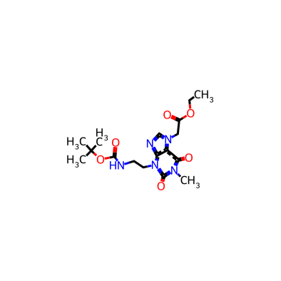 CCOC(=O)Cn1cnc2c1c(=O)n(C)c(=O)n2CCNC(=O)OC(C)(C)C